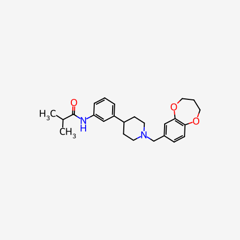 CC(C)C(=O)Nc1cccc(C2CCN(Cc3ccc4c(c3)OCCCO4)CC2)c1